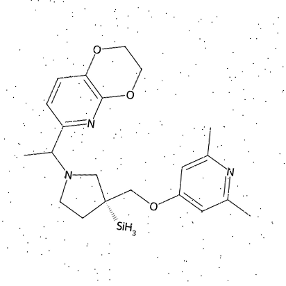 Cc1cc(OC[C@@]2([SiH3])CCN(C(C)c3ccc4c(n3)OCCO4)C2)cc(C)n1